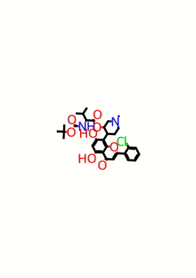 CC(C)[C@H](NC(=O)OC(C)(C)C)C(=O)OC1CN(C)CCC1c1c(O)cc(O)c2c(=O)cc(-c3ccccc3Cl)oc12